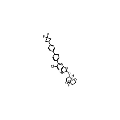 FC1(F)CC(c2ccc(-c3ccc(-c4nc5nc(OC6CO[C@@H]7CCO[C@H]67)[nH]c5cc4Cl)cc3)cc2)C1